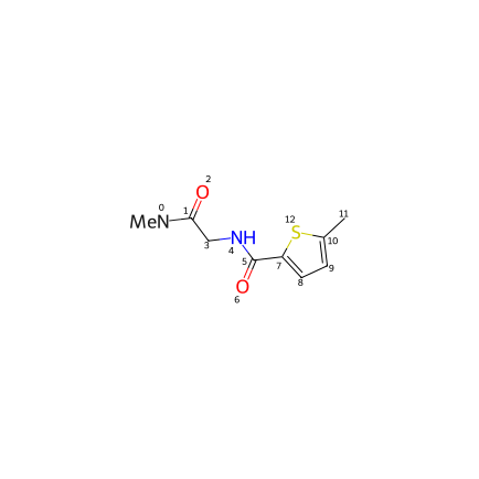 CNC(=O)CNC(=O)c1ccc(C)s1